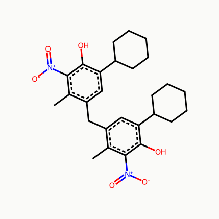 Cc1c(Cc2cc(C3CCCCC3)c(O)c([N+](=O)[O-])c2C)cc(C2CCCCC2)c(O)c1[N+](=O)[O-]